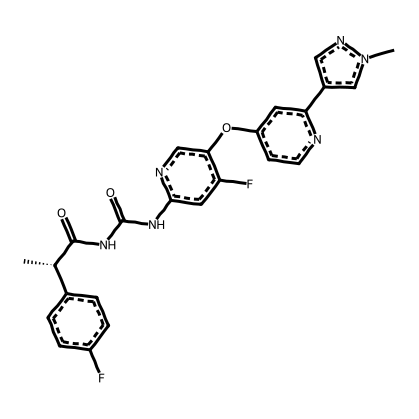 C[C@H](C(=O)NC(=O)Nc1cc(F)c(Oc2ccnc(-c3cnn(C)c3)c2)cn1)c1ccc(F)cc1